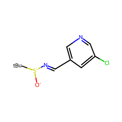 CC(C)(C)[S+]([O-])N=Cc1cncc(Cl)c1